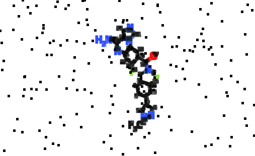 CN(Cc1ccc(-c2cnn(C(F)(F)F)c2)cc1F)C(=O)c1cc2c(cc1F)nc(N)c1cncn12